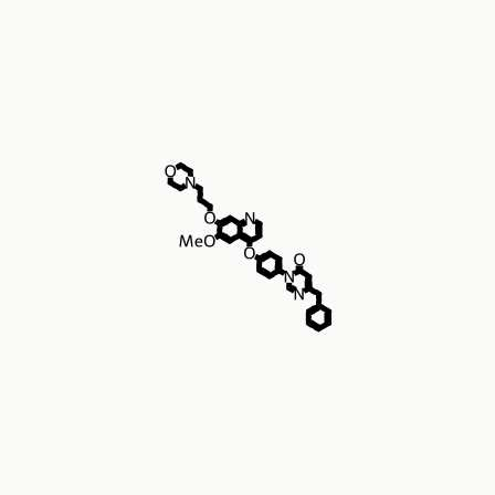 COc1cc2c(Oc3ccc(-n4cnc(Cc5ccccc5)cc4=O)cc3)ccnc2cc1OCCCN1CCOCC1